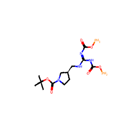 CC(C)(C)OC(=O)N1CC[C@H](CNC(=NC(=O)OP)NC(=O)OP)C1